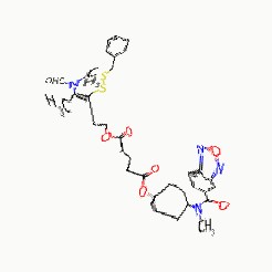 C/C(=C(\CCOC(=O)CCCC(=O)O[C@H]1CC[C@H](N(C)C(=O)c2ccc3nonc3c2)CC1)SSCc1ccccc1)N(C)C=O